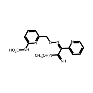 CN(O)C(=N)/C(=N\OCc1cccc(NC(=O)O)n1)c1ccccn1